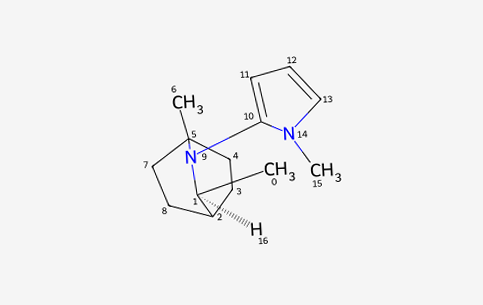 C[C@H]1C2CCC(C)(CC2)N1c1cccn1C